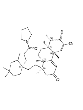 CC1CC(C)(C)CC[C@]1(CCC(=O)N1CCCC1)CC[C@]1(C)CC(=O)C=C2[C@@]3(C)C=C(C#N)C(=O)[C@@H](C)[C@@H]3CC[C@]21C